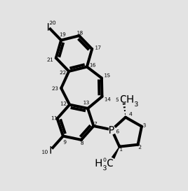 C[C@@H]1CC[C@@H](C)P1c1cc(I)cc2c1C=Cc1ccc(I)cc1C2